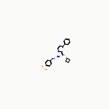 NS(=O)(=O)c1ccc(CNc2nc(OC3CCC3)c3nc(-c4ccc(F)cc4)ccc3n2)cc1